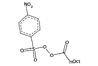 CCCCCCCCC(=O)OOS(=O)(=O)c1ccc([N+](=O)[O-])cc1